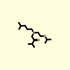 CC(C)CCCN(CCOC(C)C)CC(=O)C(C)C